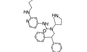 CCCNc1cc(NC(=O)N(CC(c2ccccc2)c2ccccc2)C2CCNC2)ccn1